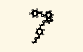 CCOCN1CCC(CCOc2noc3cccc(OCc4ccccc4)c23)CC1